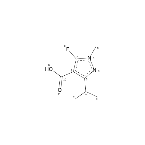 CC(C)c1nn(C)c(F)c1C(=O)O